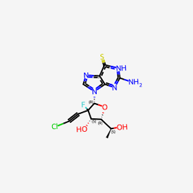 C[C@H](O)[C@H]1O[C@@H](n2cnc3c(=S)[nH]c(N)nc32)C(F)(C#CCl)[C@H]1O